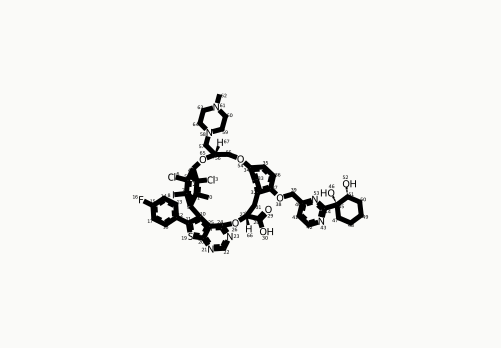 Cc1c(Cl)c2c(Cl)c(I)c1-c1c(-c3ccc(F)cc3)sc3ncnc(c13)O[C@@H](C(=O)O)Cc1cc(ccc1OCc1ccnc([C@]3(O)CCCC[C@H]3O)n1)OC[C@@H](CN1CCN(C)CC1)O2